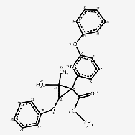 COC(=O)C1(c2cccc(Oc3ccccc3)n2)C(Sc2ccccc2)C1(C)C